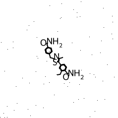 CCc1cc(-c2sc(Cc3ccc(C(N)=O)cc3)nc2C)ccc1C(N)=O